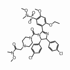 CCOc1cc(OC)c(S(=O)(=O)N(C)OC)cc1C1=NC(c2ccc(Cl)cc2)[C@@H](c2ccc(Cl)cc2)N1C(=O)N1CCN(CC(=O)N(C)OC)CC1